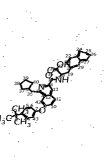 CC(C)(C)c1ccc(Oc2ccc3cc(C(=O)NC(Cc4ccc5ccccc5c4)C(=O)O)nc(CC4CCCC4)c3c2)cc1